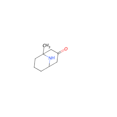 CC12CCCC(CC(=O)C1)N2